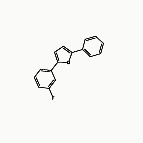 Fc1cccc(-c2ccc(-c3ccccc3)o2)c1